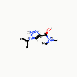 CC(C)n1cc(C(=O)N(C)C)nn1